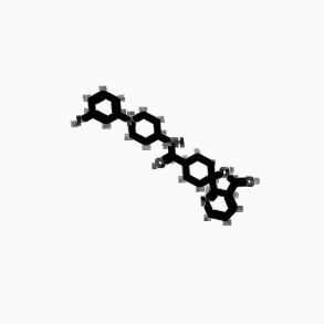 O=C1OC2(CCC(C(=O)NC3CCN(c4cccc(F)c4)CC3)CC2)c2ncccc21